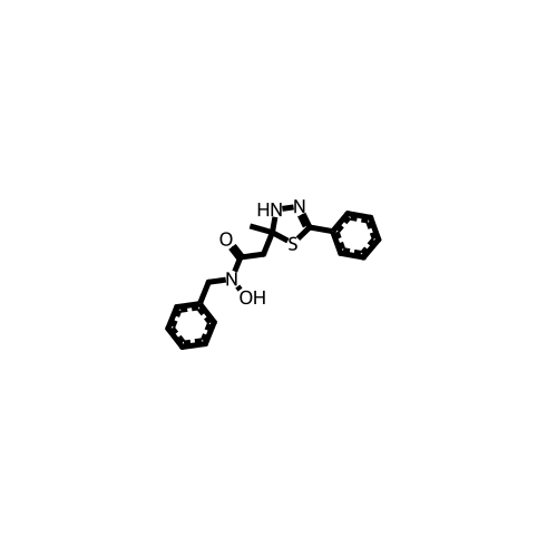 CC1(CC(=O)N(O)Cc2ccccc2)NN=C(c2ccccc2)S1